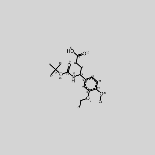 CCOc1cc(C(CCC(=O)O)NC(=O)OC(C)(C)C)ccc1OC